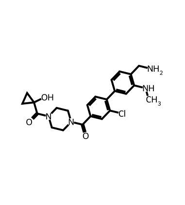 CNc1cc(-c2ccc(C(=O)N3CCN(C(=O)C4(O)CC4)CC3)cc2Cl)ccc1CN